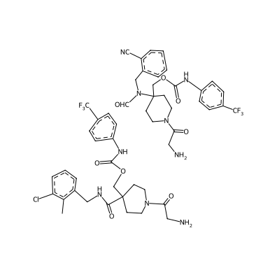 Cc1c(Cl)cccc1CNC(=O)C1(COC(=O)Nc2ccc(C(F)(F)F)cc2)CCN(C(=O)CN)CC1.N#Cc1ccccc1CN(C=O)C1(COC(=O)Nc2ccc(C(F)(F)F)cc2)CCN(C(=O)CN)CC1